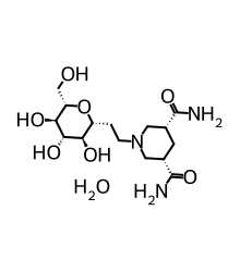 NC(=O)[C@@H]1C[C@H](C(N)=O)CN(CC[C@H]2O[C@@H](CO)[C@H](O)[C@@H](O)[C@@H]2O)C1.O